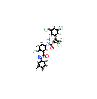 Cc1cc(NC(=O)c2cc(NC(=O)[C@H]3[C@H](c4cc(Cl)cc(Cl)c4)C3(Cl)Cl)ccc2Cl)ccc1F